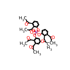 CC1OC1c1cccc(OP(=O)(Oc2cccc(C3OC3C)c2C2OC2C)Oc2cccc(C3OC3C)c2C2OC2C)c1C1OC1C